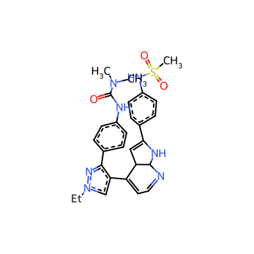 CCn1cc(C2=CC=NC3NC(c4ccc(NS(C)(=O)=O)cc4)=CC23)c(-c2ccc(NC(=O)N(C)C)cc2)n1